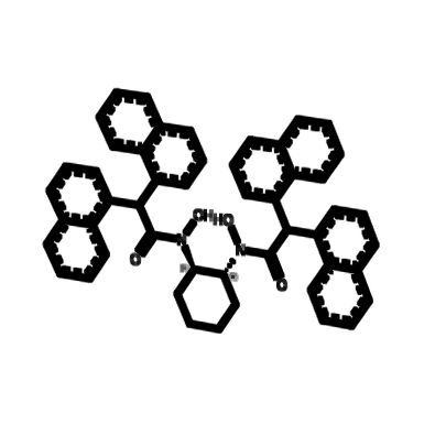 O=C(C(c1cccc2ccccc12)c1cccc2ccccc12)N(O)[C@@H]1CCCC[C@H]1N(O)C(=O)C(c1cccc2ccccc12)c1cccc2ccccc12